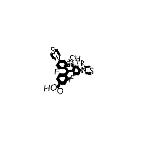 C=C[Si]1(C)c2cc(N3CCSCC3)ccc2C(c2c(F)cc(C(=O)O)cc2F)c2ccc(N3CCSCC3)cc21